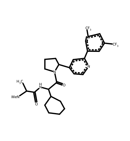 CNC(C)C(=O)NC(C(=O)N1CCCC1c1ccnc(-c2cc(C(F)(F)F)cc(C(F)(F)F)c2)c1)C1CCCCC1